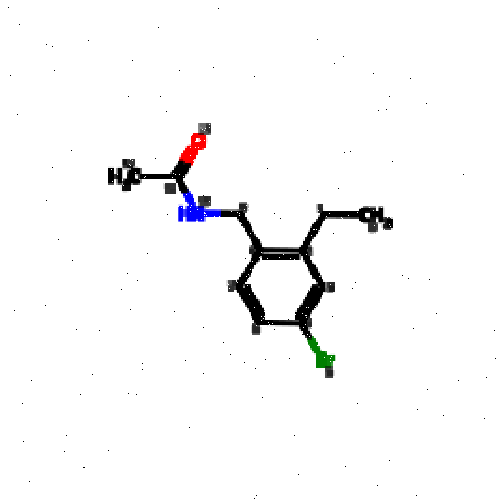 CCc1cc(Br)ccc1CNC(C)=O